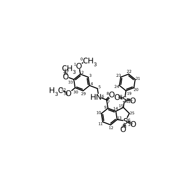 COc1cc(CNC(=O)c2cccc3c2C(S(=O)(=O)c2ccccc2)CS3(=O)=O)cc(OC)c1OC